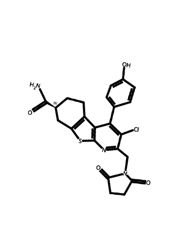 NC(=O)[C@H]1CCc2c(sc3nc(CN4C(=O)CCC4=O)c(Cl)c(-c4ccc(O)cc4)c23)C1